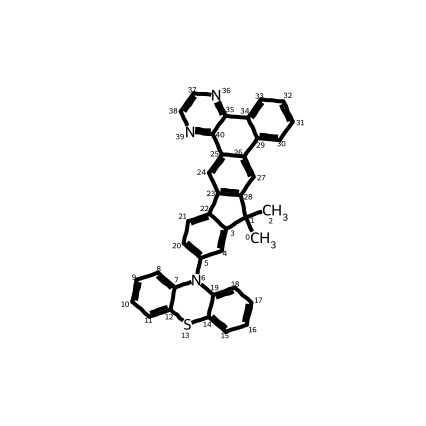 CC1(C)c2cc(N3c4ccccc4Sc4ccccc43)ccc2-c2cc3c(cc21)c1ccccc1c1nccnc31